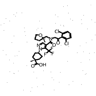 C[C@@]1(CN(CC(=O)c2c(Cl)cccc2Cl)C(=O)c2cnn([C@H]3CC[C@](C)(C(=O)O)CC3)c2C(F)(F)F)CCCO1